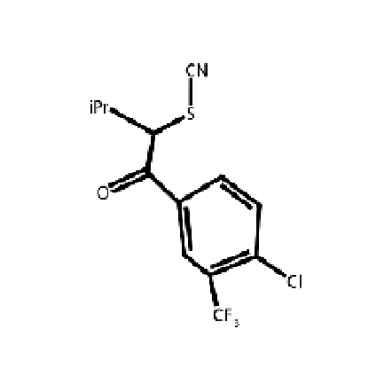 CC(C)C(SC#N)C(=O)c1ccc(Cl)c(C(F)(F)F)c1